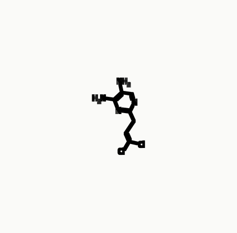 Nc1cnc(CC=C(Cl)Cl)nc1N